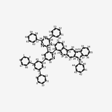 c1ccc(-c2cc(-c3ccccc3)cc(-c3cnc(-c4cccc5c4sc4cc6c(cc45)c4ccccc4n6-c4ccccc4)c(-c4nc(-c5ccccc5)nc(-c5ccccc5)n4)c3)c2)cc1